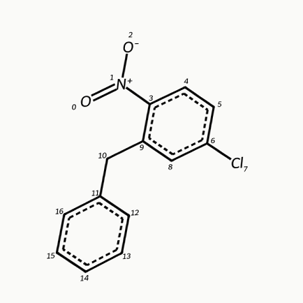 O=[N+]([O-])c1ccc(Cl)cc1Cc1ccccc1